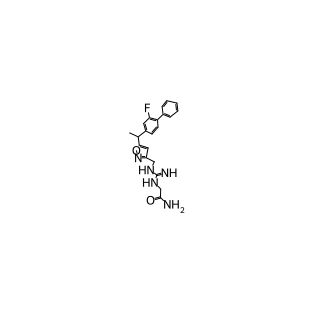 CC(c1ccc(-c2ccccc2)c(F)c1)c1cc(CNC(=N)NCC(N)=O)no1